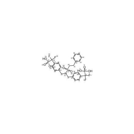 O=P(O)(O)C(F)(F)c1ccc(CN(Cc2ccc(C(F)(F)P(=O)(O)O)cc2)S(=O)(=O)CCc2ccccc2)cc1